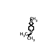 CC(C)=CN1CCC2(CC1)CN(C)C2